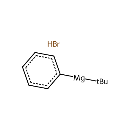 Br.C[C](C)(C)[Mg][c]1ccccc1